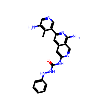 Cc1c(N)cncc1-c1cc2cc(NC(=O)NNc3ccccc3)ncc2c(N)n1